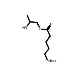 CCCCCCCCCCCC(=O)OCC(C)[NH]